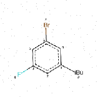 CCC(C)c1cc(F)cc(Br)c1